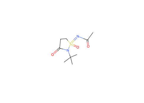 CC(=O)N=S1(=O)CCC(=O)N1C(C)(C)C